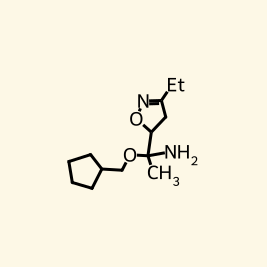 CCC1=NOC(C(C)(N)OCC2CCCC2)C1